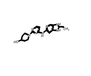 CCC1Nc2cnc(Nc3ccnc(N4CCC(O)CC4)n3)cc2N1